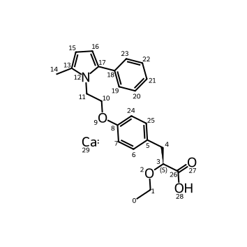 CCO[C@@H](Cc1ccc(OCCn2c(C)ccc2-c2ccccc2)cc1)C(=O)O.[Ca]